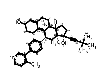 Cc1ccncc1-c1ccc([C@H]2C[C@@]3(C)[C@@H](CC[C@@]3(O)C#CC(C)(C)C)[C@@H]3CCC4=CC(O)CCC4=C32)cc1